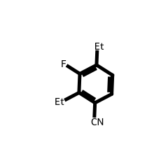 CCc1ccc(C#N)c(CC)c1F